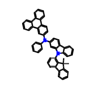 CC1(C)c2ccccc2-c2cccc(-n3c4ccccc4c4ccc(N(c5ccccc5)c5ccc6c7ccccc7c7ccccc7c6c5)cc43)c21